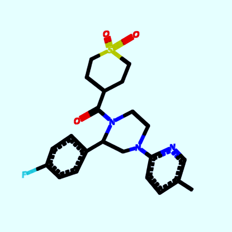 Cc1ccc(N2CCN(C(=O)C3CCS(=O)(=O)CC3)C(c3ccc(F)cc3)C2)nc1